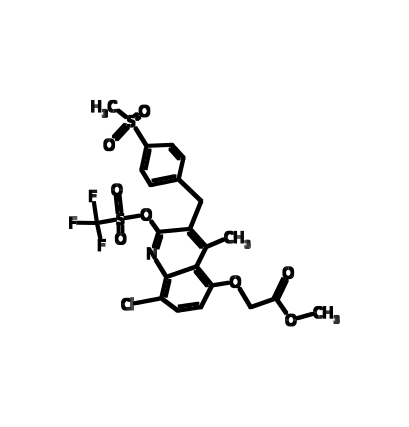 COC(=O)COc1ccc(Cl)c2nc(OS(=O)(=O)C(F)(F)F)c(Cc3ccc(S(C)(=O)=O)cc3)c(C)c12